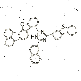 c1ccc2cc(C3=NC(c4ccc5c(c4)sc4ccccc45)=NC(c4cccc5oc6c7c(ccc6c45)-c4cccc5cccc-7c45)N3)ccc2c1